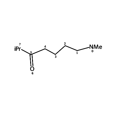 CNCCCCC(=O)C(C)C